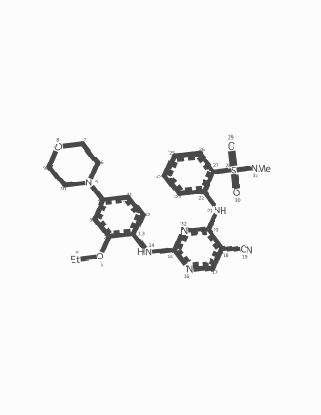 CCOc1cc(N2CCOCC2)ccc1Nc1ncc(C#N)c(Nc2ccccc2S(=O)(=O)NC)n1